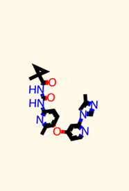 Cc1cn(-c2cc(Oc3ccc(NC(=O)NC(=O)C4(C)CC4)nc3C)ccn2)cn1